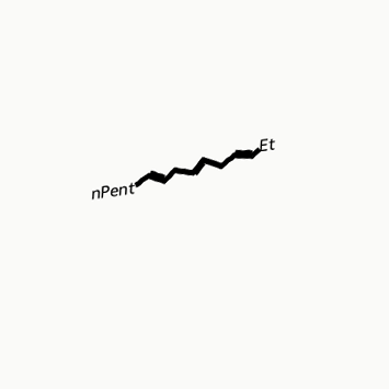 CCC=CCC=CCC=CCCCCC